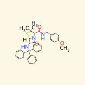 COc1ccc(CNC(=O)C2N3C(=O)C(NC(c4ccccc4)(c4ccccc4)c4ccccc4)[C@H]3SC2(C)C)cc1